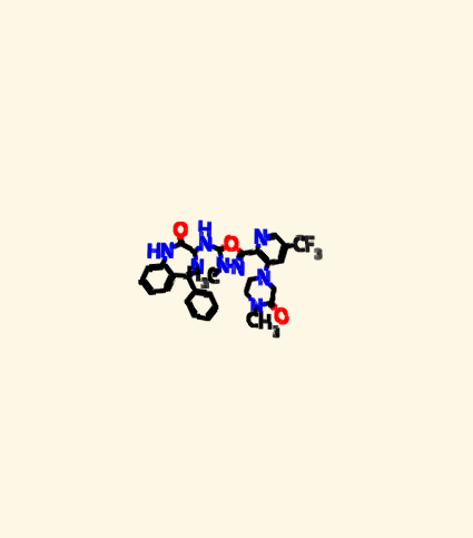 CN1CCN(c2cc(C(F)(F)F)cnc2C2=NN(C)C(N[C@H]3N=C(c4ccccc4)c4ccccc4NC3=O)O2)CC1=O